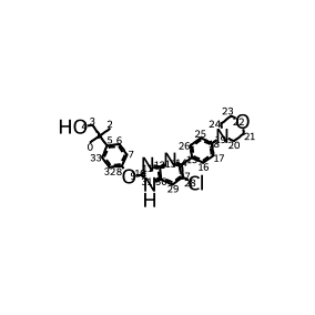 CC(C)(CO)c1ccc(Oc2nc3nc(-c4ccc(N5CCOCC5)cc4)c(Cl)cc3[nH]2)cc1